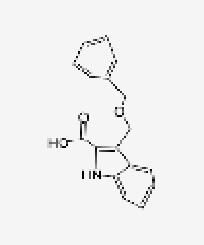 O=C(O)c1[nH]c2ccccc2c1COCc1ccccc1